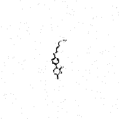 CNCCCCOc1ccc(C2CCC(=O)NC2=O)cc1